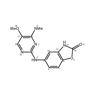 CNc1nc(Nc2ccc3oc(=O)[nH]c3c2)ncc1OC